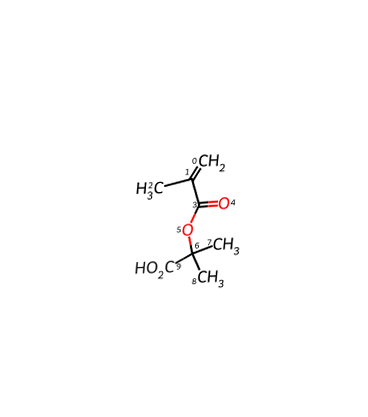 C=C(C)C(=O)OC(C)(C)C(=O)O